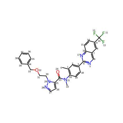 Cc1cc(-c2ncc3cc(C(F)(F)F)ccc3n2)ccc1N(C)C(=O)c1ccnn1CCOCc1ccccc1